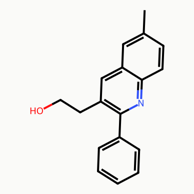 Cc1ccc2nc(-c3ccccc3)c(CCO)cc2c1